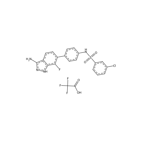 Nc1n[nH]c2c(F)c(-c3ccc(NS(=O)(=O)c4cccc(Cl)c4)cc3)ccc12.O=C(O)C(F)(F)F